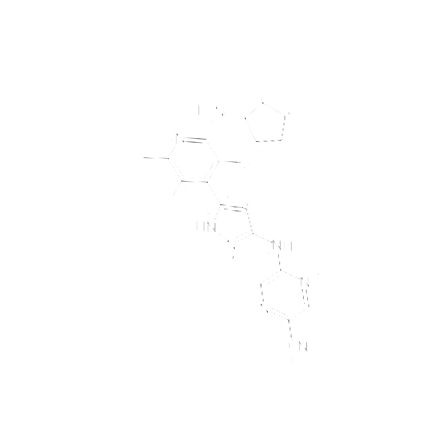 Cc1ncc(O[C@H]2CCC[C@H]2N)c(-c2cc(Nc3cnc(C#N)cn3)n[nH]2)c1F